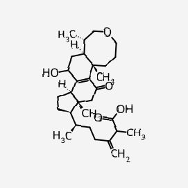 C=C(CC[C@@H](C)[C@H]1CC[C@H]2C3=C(C(=O)C[C@]12C)[C@@]1(C)CCCOC[C@@H](C)[C@@H]1CC3O)C(C)C(=O)O